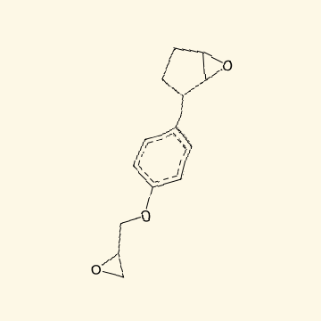 c1cc(C2CCC3OC32)ccc1OCC1CO1